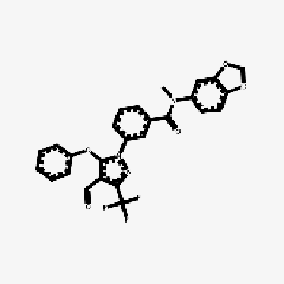 CN(C(=O)c1cccc(-n2nc(C(F)(F)F)c(C=O)c2Oc2ccccc2)c1)c1ccc2c(c1)OCO2